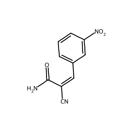 N#CC(=Cc1cccc([N+](=O)[O-])c1)C(N)=O